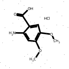 COc1cc(N)c(C(=O)O)cc1OC.Cl